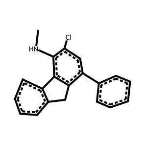 CNc1c(Cl)cc(-c2ccccc2)c2c1-c1ccccc1C2